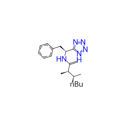 C=C(N[C@@H](Cc1ccccc1)c1nnn[nH]1)[C@H](C)[C@@H](C)CCCC